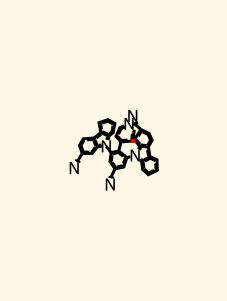 N#Cc1cc(-n2c3ccccc3c3ccc(C#N)cc32)c(-c2ccncc2)c(-n2c3ccccc3c3ccc(C#N)cc32)c1